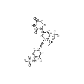 COc1c(C#Cc2ccc(NS(C)(=O)=O)c(C)c2)cc(N2CCC(=O)NC2=O)cc1C(C)(C)C